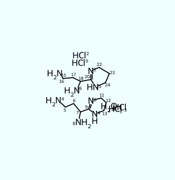 Cl.Cl.Cl.Cl.NCCC(N)C1=NCCCN1.NCCC(N)C1=NCCCN1.O